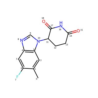 Cc1cc2c(cc1F)ncn2C1CCC(=O)NC1=O